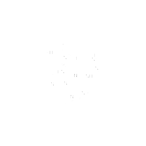 Cc1cc(Nc2nc(N[C@@H]3C[C@H]4CC[C@@H](C3)N4CCC#N)nc3c2ncn3C)n[nH]1